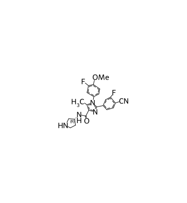 COc1ccc(-n2c(-c3ccc(C#N)c(F)c3)nc(C(=O)N[C@@H]3CCNC3)c2C)cc1F